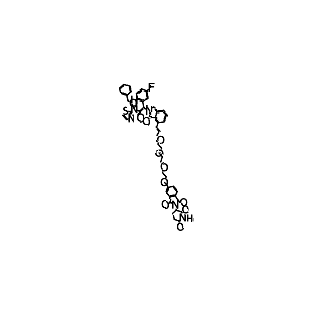 O=C1CCC(N2C(=O)c3ccc(OCCOCCOCCOCCCc4cccc5c4C(=O)N(C(C(=O)Nc4nccs4)c4cc(F)ccc4OCc4ccccc4)C5)cc3C2=O)C(=O)N1